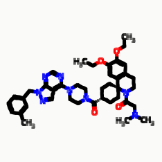 CCOc1cc2c(cc1OCC)[C@]1(CC[C@@H](C(=O)N3CCN(c4ncnc5c4cnn5Cc4cccc(C)c4)CC3)CC1)N(C(=O)CN(C)C)CC2